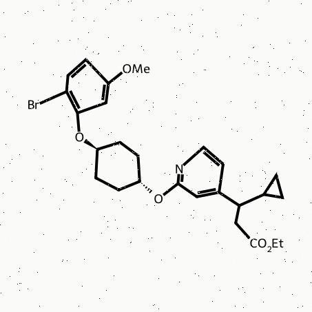 CCOC(=O)CC(c1ccnc(O[C@H]2CC[C@H](Oc3cc(OC)ccc3Br)CC2)c1)C1CC1